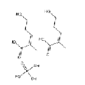 CC(=CCCO)C(=O)O.CC(=CCCO)C(=O)O.O=P(O)(O)O